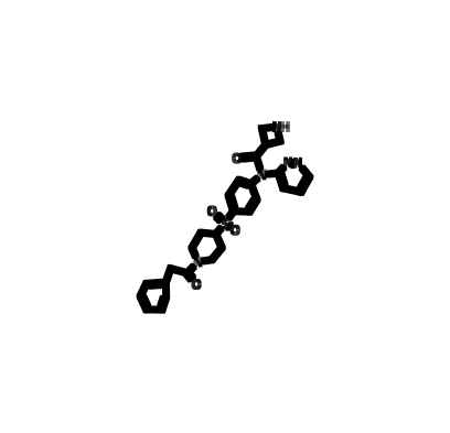 O=C(Cc1ccccc1)N1CCC(S(=O)(=O)c2ccc(N(C(=O)C3CNC3)c3cccnn3)cc2)CC1